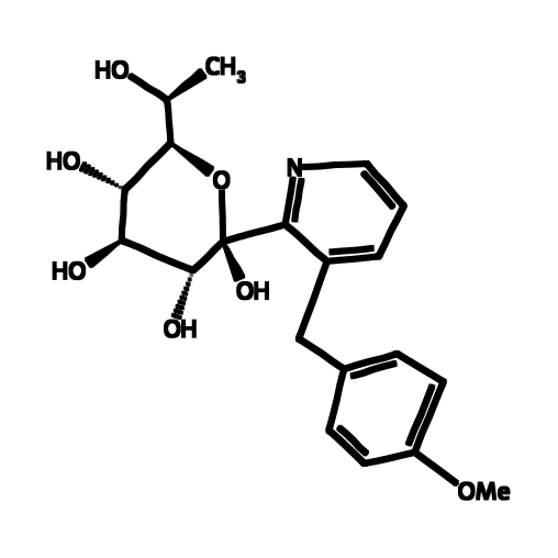 COc1ccc(Cc2cccnc2[C@@]2(O)O[C@H]([C@H](C)O)[C@@H](O)[C@H](O)[C@H]2O)cc1